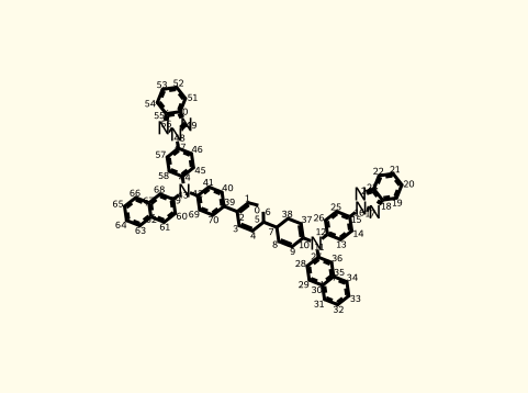 C/C=C(\C=C/C(C)C1C=CC(N(c2ccc(-n3nc4ccccc4n3)cc2)c2ccc3ccccc3c2)=CC1)c1ccc(N(c2ccc(-n3nc4ccccc4n3)cc2)c2ccc3ccccc3c2)cc1